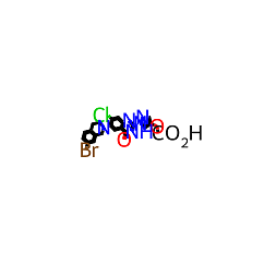 O=C(O)Oc1cnn(-c2nc3cc(Cl)c(N4CCc5ccc(Br)cc5C4)cc3c(=O)[nH]2)c1